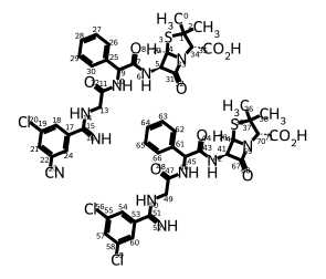 CC1(C)S[C@@H]2[C@H](NC(=O)C(NC(=O)CNC(=N)c3cc(Cl)cc(C#N)c3)c3ccccc3)C(=O)N2[C@H]1C(=O)O.CC1(C)S[C@@H]2[C@H](NC(=O)C(NC(=O)CNC(=N)c3cc(Cl)cc(Cl)c3)c3ccccc3)C(=O)N2[C@H]1C(=O)O